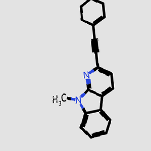 Cn1c2ccccc2c2ccc(C#CC3=CCCCC3)nc21